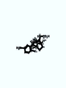 C[C@]1(c2cc(N)ccc2F)N=C(NC(=O)O)[C@@H]2CC[C@H]1S2(O)O